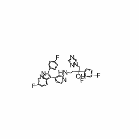 OC(CCNc1cc(-c2c(-c3ccc(F)cc3)nn3cc(F)ccc23)ccn1)(Cn1cncn1)c1ccc(F)cc1F